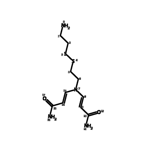 NCCSSCCN(C=CC(N)=O)C=CC(N)=O